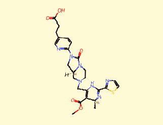 COC(=O)C1=C(CN2CCN3C(=O)N(c4ccc(CCC(=O)O)cn4)C[C@@H]3C2)NC(c2nccs2)=N[C@H]1C